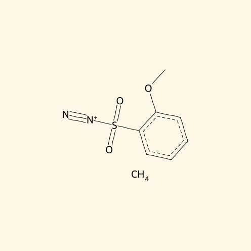 C.COc1ccccc1S(=O)(=O)[N+]#N